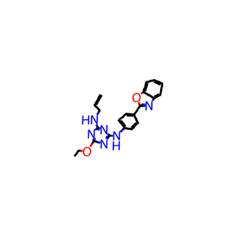 C=CCNc1nc(Nc2ccc(-c3nc4ccccc4o3)cc2)nc(OCC)n1